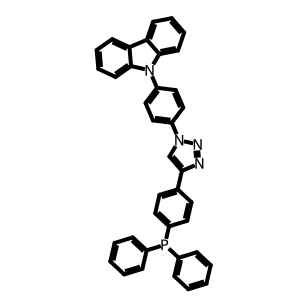 c1ccc(P(c2ccccc2)c2ccc(-c3cn(-c4ccc(-n5c6ccccc6c6ccccc65)cc4)nn3)cc2)cc1